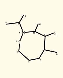 CC1CCCCN(C(C)C)C(C)C1C